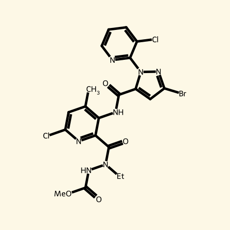 CCN(NC(=O)OC)C(=O)c1nc(Cl)cc(C)c1NC(=O)c1cc(Br)nn1-c1ncccc1Cl